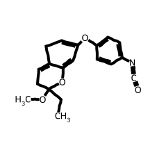 CCC1(OC)CC=C2CC=C(Oc3ccc(N=C=O)cc3)C=C2O1